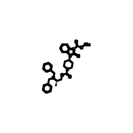 C[C@@H](COC(=O)N1CCC(n2c(=O)n(C(=O)OC(C)(C)C)c3ccccc32)CC1)N(Cc1ccccc1)Cc1ccccc1